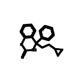 O=C1NC(CCC2CC2)(c2ccccc2)c2ccccc2O1